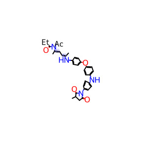 CCC(=O)N(C(C)=O)/C(C)=C/C=C(\C)Nc1ccc(Oc2ccc(Nc3ccc(N4C(=O)CC(C)C4=O)cc3)cc2)cc1